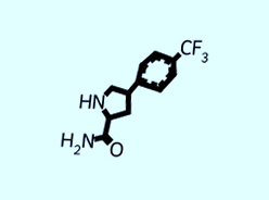 NC(=O)C1CC(c2ccc(C(F)(F)F)cc2)CN1